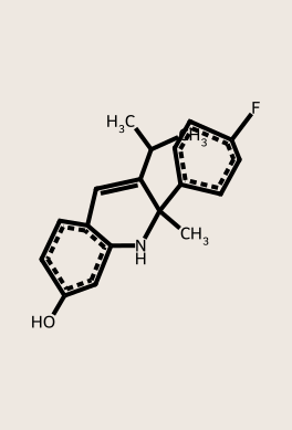 CC(C)C1=Cc2ccc(O)cc2NC1(C)c1ccc(F)cc1